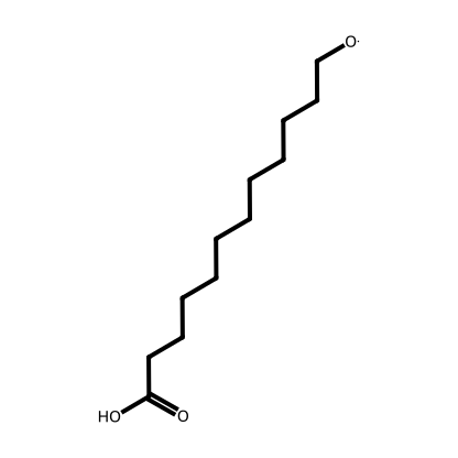 [O]CCCCCCCCCCCC(=O)O